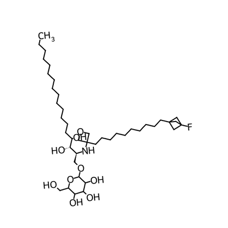 CCCCCCCCCCCCCC[C@@H](O)[C@@H](O)[C@H](COC1OC(CO)C(O)C(O)C1O)NC1(CCCCCCCCCCC23CC(F)(C2)C3)COC1